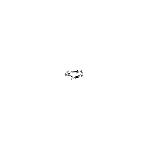 NP.O=PO